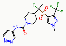 Cn1cc(S(=O)(=O)C(C)(F)C2CCN(C(=O)Nc3ccnnc3)CC2)c(C(F)(F)F)n1